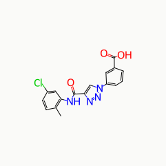 Cc1ccc(Cl)cc1NC(=O)c1cn(-c2cccc(C(=O)O)c2)nn1